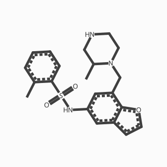 Cc1ccccc1S(=O)(=O)Nc1cc(CN2CCNCC2C)c2occc2c1